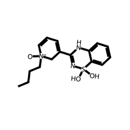 CCCC[N+]1([O-])C=CC=C(C2=NS(O)(O)c3ccccc3N2)C1